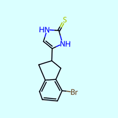 S=c1[nH]cc(C2Cc3cccc(Br)c3C2)[nH]1